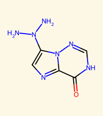 NN(N)c1cnc2c(=O)[nH]cnn12